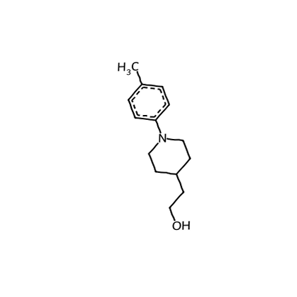 Cc1ccc(N2CCC(CCO)CC2)cc1